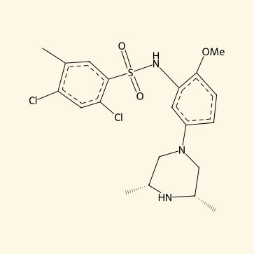 COc1ccc(N2C[C@@H](C)N[C@@H](C)C2)cc1NS(=O)(=O)c1cc(C)c(Cl)cc1Cl